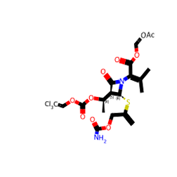 C=C(COC(N)=O)S[C@@H]1[C@@H]([C@@H](C)OC(=O)OCC(Cl)(Cl)Cl)C(=O)N1C(C(=O)OCOC(C)=O)=C(C)C